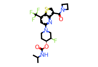 CC(C)NC(=O)O[C@@H]1CCN(c2cc(C(F)(F)F)c3scc(C(=O)N4CCC4)c3n2)C[C@H]1F